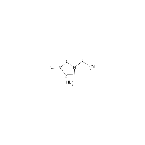 Br.CN1C=CN(CC#N)C1